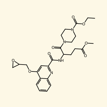 CCOC(=O)N1CCN(C(=O)C(CCC(=O)OC)NC(=O)c2cc(OCC3CO3)c3ccccc3n2)CC1